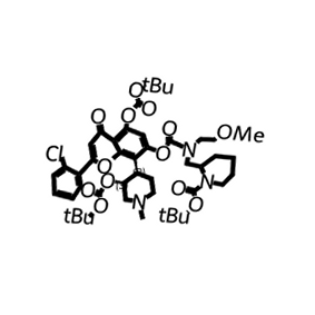 COCCN(CC1CCCCN1C(=O)OC(C)(C)C)C(=O)Oc1cc(OC(=O)OC(C)(C)C)c2c(=O)cc(-c3ccccc3Cl)oc2c1[C@H]1CCN(C)C[C@H]1OC(=O)OC(C)(C)C